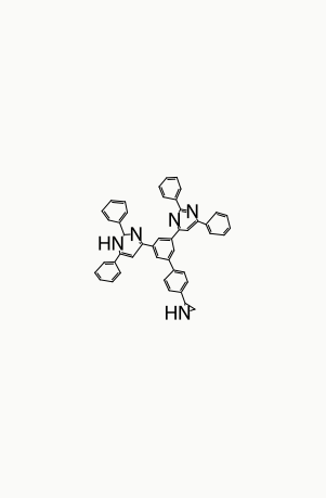 C1=C(c2ccccc2)NC(c2ccccc2)N=C1c1cc(-c2ccc(C3CN3)cc2)cc(-c2cc(-c3ccccc3)nc(-c3ccccc3)n2)c1